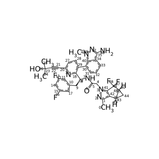 Cc1nn(CC(=O)N[C@@H](Cc2cc(F)cc(F)c2)c2nc(C#CC(C)(C)O)ccc2-c2cccc3c(N)nn(C)c23)c2c1[C@H]1C[C@H]1C2(F)F